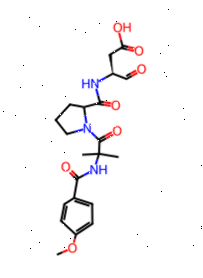 COc1ccc(C(=O)NC(C)(C)C(=O)N2CCCC2C(=O)N[C@H](C=O)CC(=O)O)cc1